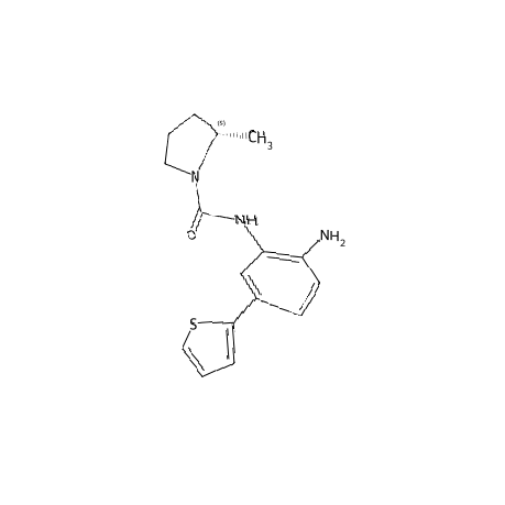 C[C@H]1CCCN1C(=O)Nc1cc(-c2cccs2)ccc1N